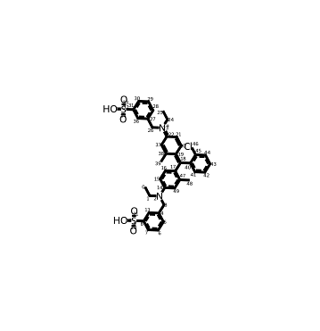 CCN(Cc1cccc(S(=O)(=O)O)c1)c1ccc(/C(=C2C=C/C(=[N+](\CC)Cc3cccc(S(=O)(=O)O)c3)C=C/2C)c2ccccc2Cl)c(C)c1